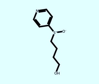 [O-][S+](CCCCO)c1ccncc1